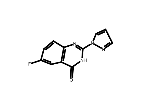 O=c1[nH]c(-n2cccn2)nc2ccc(F)cc12